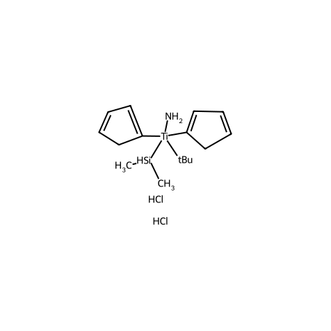 C[SiH](C)[Ti]([NH2])([C]1=CC=CC1)([C]1=CC=CC1)[C](C)(C)C.Cl.Cl